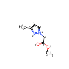 COC(=O)Cn1ccc(C)n1